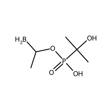 BC(C)OP(=O)(O)C(C)(C)O